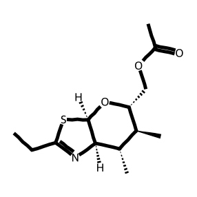 CCC1=N[C@@H]2[C@@H](C)[C@H](C)[C@@H](COC(C)=O)O[C@@H]2S1